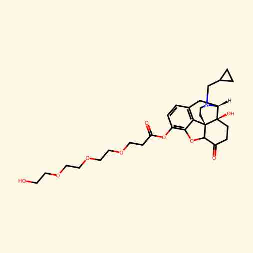 O=C(CCOCCOCCOCCO)Oc1ccc2c3c1OC1C(=O)CC[C@@]4(O)[C@@H](C2)N(CC2CC2)CC[C@]314